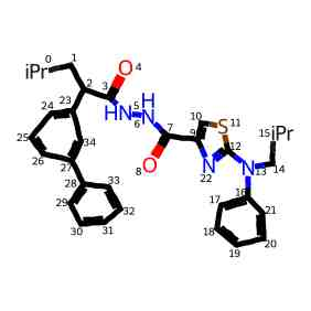 CC(C)CC(C(=O)NNC(=O)c1csc(N(CC(C)C)c2ccccc2)n1)c1cccc(-c2ccccc2)c1